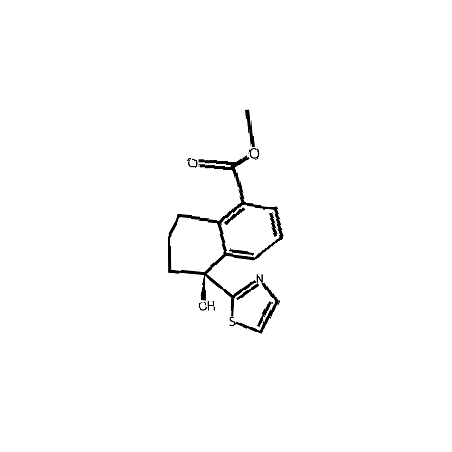 COC(=O)c1cccc2c1CCC[C@@]2(O)c1nccs1